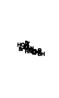 O=C(O)c1ccc2[nH]c(-c3cc(Br)c(O)c(Br)c3)nc2c1